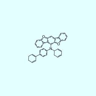 C1=CCC(N(c2ccc(C3=CCCC=C3)cc2)c2c3oc4ccccc4c3cc3oc4ccccc4c23)C=C1